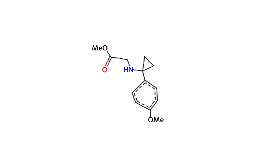 COC(=O)CNC1(c2ccc(OC)cc2)CC1